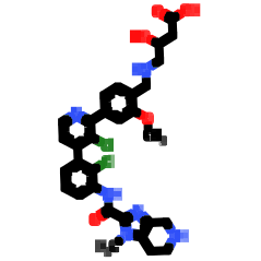 COc1cc(-c2nccc(-c3cccc(NC(=O)c4nc5c(n4C)CCNC5)c3Cl)c2Cl)ccc1CNCC(O)CC(=O)O